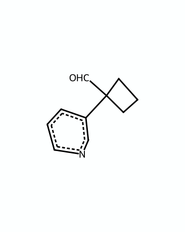 O=CC1(c2cccnc2)CCC1